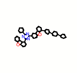 c1ccc(-c2ccc(-c3ccc(-c4cccc5c4oc4ccc(-c6nc(-c7ccccc7)nc(-c7cccc8oc9ccccc9c78)n6)cc45)cc3)cc2)cc1